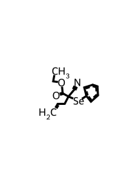 C=CCC(C#N)([Se]c1ccccc1)C(=O)OCC